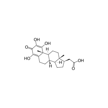 C[C@]12C(O)=C(O)C(=O)C(O)=C1CC[C@@H]1[C@@H]2CC[C@]2(C)[C@@H](CC(=O)O)CC[C@@H]12